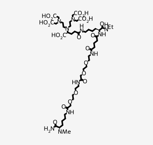 CCNC(=O)[C@H](CCCCNC(=O)CC[C@@H](C(=O)O)N(CCN(CC(=O)O)CC(=O)O)CCN(CC(=O)O)CC(=O)O)NC(=O)CCCC(=O)NCCOCCOCC(=O)NCCOCCOCC(=O)NCCCC[C@H](NC)C(N)=O